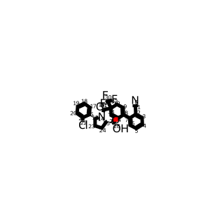 N#Cc1ccccc1C1=CCC(C(=O)N2[C@@H](c3ccccc3Cl)CC[C@H]2C(=O)O)(C(F)(F)F)C=C1